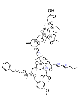 C=C1C[C@@H](C[C@]2(OC)O[C@H](C[C@H](CC(=O)O)O[Si](CC)(CC)CC)C[C@H](OC(C)=O)C2(C)C)O[C@@H](/C=C/C(C)(C)[C@]2(OC)O[C@H](C[C@@H](OCc3ccc(OC)cc3)[C@@H](C)OCOCc3ccccc3)C/C(=C\C(=O)OC)[C@@H]2OC(=O)/C=C/C=C/CCC)C1